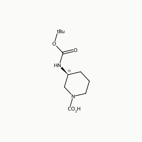 CC(C)(C)OC(=O)N[C@H]1CCCN(C(=O)O)C1